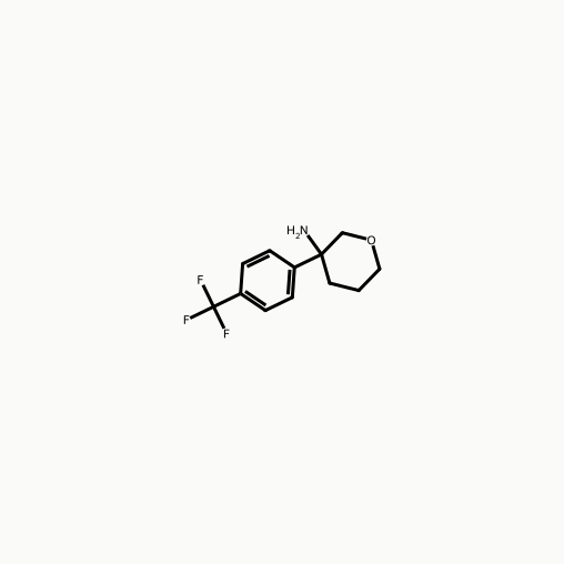 NC1(c2ccc(C(F)(F)F)cc2)CCCOC1